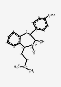 COc1ccc(C2Sc3ccccc3C(CCN(C)C)[NH+]([O-])C2O)cc1